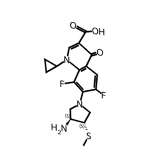 CS[C@H]1CN(c2c(F)cc3c(=O)c(C(=O)O)cn(C4CC4)c3c2F)C[C@@H]1N